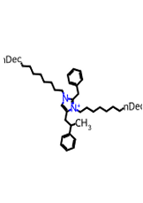 CCCCCCCCCCCCCCCCCCn1cc(CC(C)c2ccccc2)[n+](CCCCCCCCCCCCCCCCC)c1Cc1ccccc1